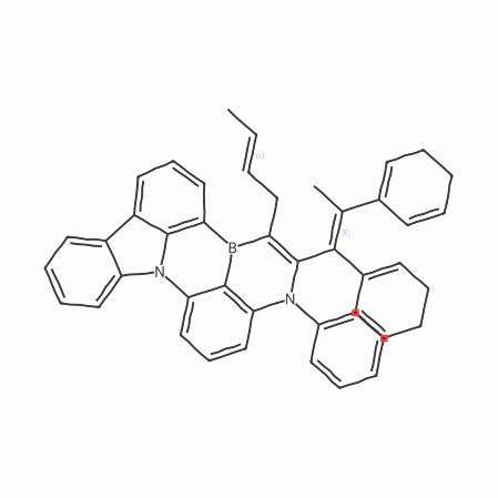 C/C=C/CC1=C(/C(C2=CCCC=C2)=C(\C)C2=CCCC=C2)N(c2ccccc2)c2cccc3c2B1c1cccc2c4ccccc4n-3c12